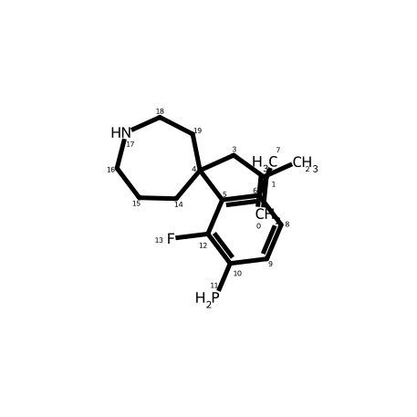 C=C(C)CC1(c2c(C)ccc(P)c2F)CCCNCC1